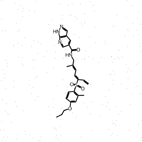 C=C/C(=C\C=C(/C)CNC(=O)c1cnc2[nH]ncc2c1)S(=O)(=O)c1ccc(OCCC)cc1C